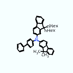 CCCCCCC1(CCCCCC)c2ccccc2-c2ccc(N(c3ccc(-c4ccccc4)cc3)c3ccc4c(c3)C(C)(C)c3ccccc3-4)cc21